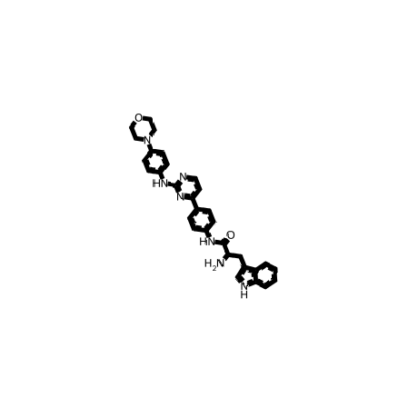 NC(Cc1c[nH]c2ccccc12)C(=O)Nc1ccc(-c2ccnc(Nc3ccc(N4CCOCC4)cc3)n2)cc1